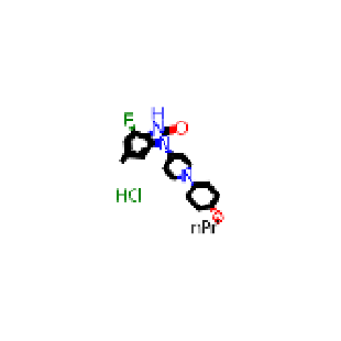 CCCOC1CCC(N2CCC(n3c(=O)[nH]c4c(F)cc(C)cc43)CC2)CC1.Cl